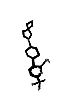 Cc1nc(C(F)(F)F)ccc1C1CCC(N2CCC3(CSC3)C2)CC1